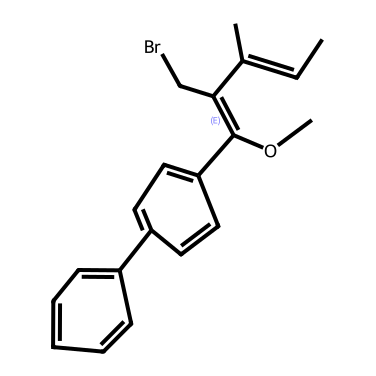 CC=C(C)/C(CBr)=C(\OC)c1ccc(-c2ccccc2)cc1